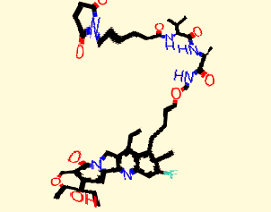 C=C1OCc2c(cc3n(c2=O)Cc2c-3nc3cc(F)c(C)c(CCCCOCNC(=O)[C@H](C)NC(=O)[C@@H](NC(=O)CCCCCN4C(=O)C=CC4=O)C(C)C)c3c2CC)[C@@]1(O)CC